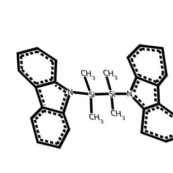 C[Si](C)(n1c2ccccc2c2ccccc21)[Si](C)(C)n1c2ccccc2c2ccccc21